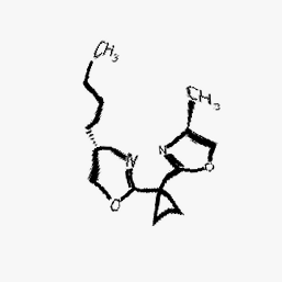 CCCC[C@H]1COC(C2(C3=N[C@@H](C)CO3)CC2)=N1